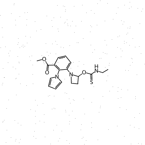 CCNC(=S)OC1CCN1c1cccc(C(=O)OC)c1-n1cccc1